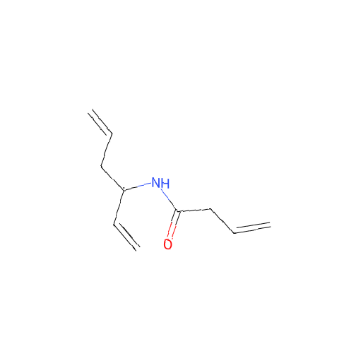 C=CC[C](C=C)NC(=O)CC=C